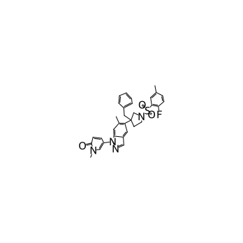 Cc1ccc(F)c(S(=O)(=O)N2CCC(Cc3ccccc3)(c3cc4cnn(-c5ccc(=O)n(C)c5)c4cc3C)C2)c1